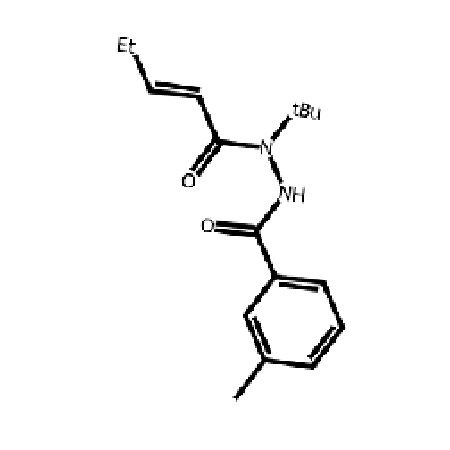 CCC=CC(=O)N(NC(=O)c1cccc(C)c1)C(C)(C)C